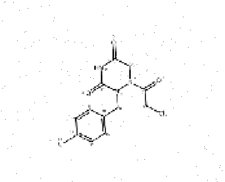 O=C1CN(C(=O)CCl)N(Cc2ccc(Cl)cc2)C(=O)N1